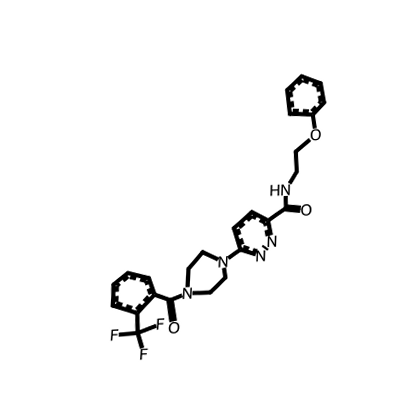 O=C(NCCOc1ccccc1)c1ccc(N2CCN(C(=O)c3ccccc3C(F)(F)F)CC2)nn1